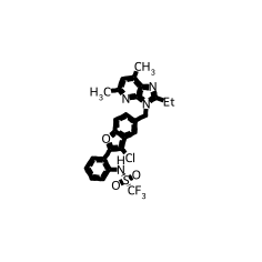 CCc1nc2c(C)cc(C)nc2n1Cc1ccc2oc(-c3ccccc3NS(=O)(=O)C(F)(F)F)c(Cl)c2c1